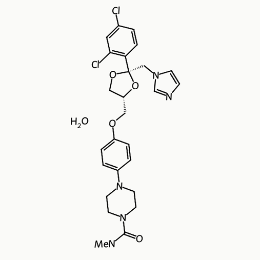 CNC(=O)N1CCN(c2ccc(OC[C@@H]3CO[C@@](Cn4ccnc4)(c4ccc(Cl)cc4Cl)O3)cc2)CC1.O